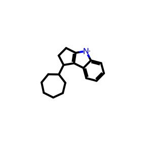 c1ccc2c(c1)[N]C1=C2C(C2CCCCCC2)CC1